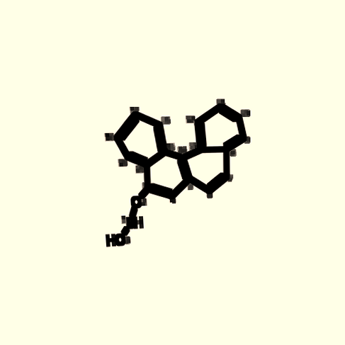 OBOc1cc2ccc3ccccc3c2c2ccccc12